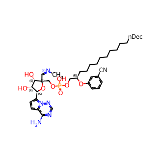 CCCCCCCCCCCCCCCCCCCC[C@H](COP(=O)(O)OC[C@@]1(/C=N\C)O[C@@H](c2ccc3c(N)ncnn23)[C@H](O)[C@@H]1O)Oc1cccc(C#N)c1